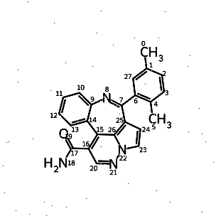 Cc1ccc(C)c(C2=Nc3ccccc3-c3c(C(N)=O)cnn4ccc2c34)c1